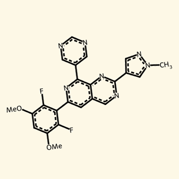 COc1cc(OC)c(F)c(-c2cc3cnc(-c4cnn(C)c4)nc3c(-c3cncnc3)n2)c1F